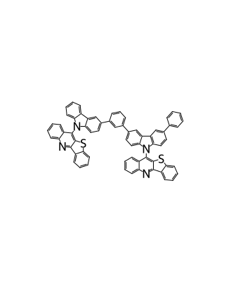 c1ccc(-c2ccc3c(c2)c2cc(-c4cccc(-c5ccc6c(c5)c5ccccc5n6-c5c6ccccc6nc6c5sc5ccccc56)c4)ccc2n3-c2c3ccccc3nc3c2sc2ccccc23)cc1